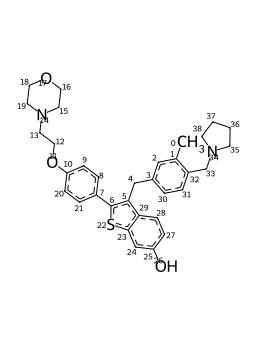 Cc1cc(Cc2c(-c3ccc(OCCN4CCOCC4)cc3)sc3cc(O)ccc23)ccc1CN1CCCC1